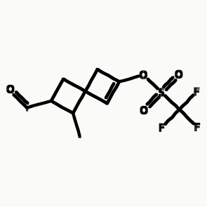 CC1C([C]=O)CC12C=C(OS(=O)(=O)C(F)(F)F)C2